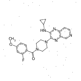 COc1ccc(C(=O)N2CCN(c3nc4cnccc4nc3NC3CC3)CC2)c(F)c1